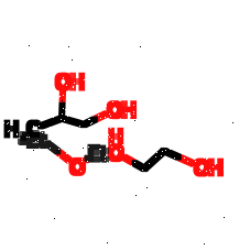 CC(O)CO.CCOCC.OCCO